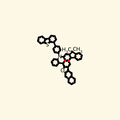 CC1(C)c2ccccc2-c2ccc(N(c3ccc(-c4cccc5c4sc4ccccc45)cc3)c3ccccc3-c3cccc4c3oc3cc5ccccc5cc34)cc21